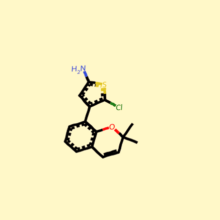 CC1(C)C=Cc2cccc(-c3cc(N)sc3Cl)c2O1